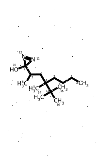 CCCCC(C)(CC(C)C1(O)N=N1)C(C)(C)C